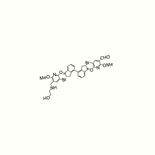 COc1nc(O[C@H]2CCc3c(-c4cccc5c4CC[C@@H]5Oc4nc(OC)c(CNCCO)cc4Br)cccc32)c(Br)cc1C=O